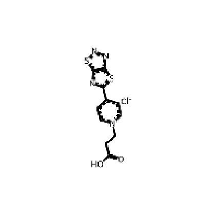 O=C(O)CC[n+]1ccc(-c2nc3snnc3s2)cc1.[Cl-]